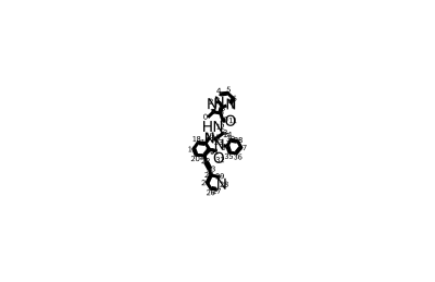 Cc1nn2cccnc2c1C(=O)N[C@H](C)c1nc2cccc(C#Cc3cccnc3)c2c(=O)n1-c1ccccc1